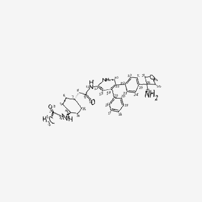 CC(=O)N[C@H]1CC[C@H](CC(=O)Nc2cc(-c3ccccc3)c(-c3ccc(C4(N)COC4)cc3)cn2)CC1